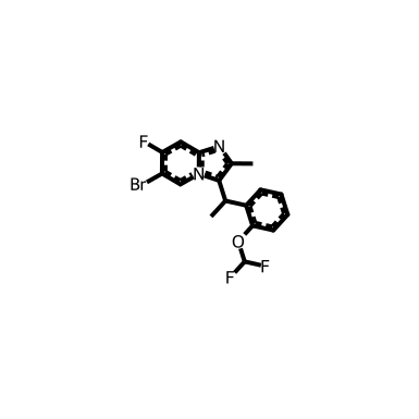 Cc1nc2cc(F)c(Br)cn2c1C(C)c1ccccc1OC(F)F